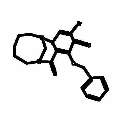 O=C1c2c(OCc3ccccc3)c(=O)c(Br)cn2N2CCCCCN1C2